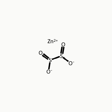 O=S([O-])S(=O)[O-].[Zn+2]